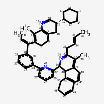 C/C=C(\C1=C(C)C2=C(CC1)C[C@@H](C1CCCCC1)C=N2)c1cccc(-c2cccc(C3N=C(C/C=C/C)C(C)=C4C=CC5=C(CCC=C5)C43)n2)c1